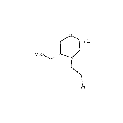 COC[C@@H]1COCCN1CCCl.Cl